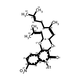 CCn1c(=O)c(OCC=C(C)CCC=C(C)C)c(OCC=C(C)C)c2ccc([N+](=O)[O-])cc21